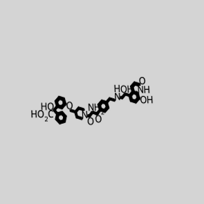 NC(C(=O)c1ccc(CCNCC(O)c2ccc(O)c3[nH]c(=O)ccc23)cc1)C(=O)N1CCC(COc2cccc(C(O)(C(=O)O)c3ccccc3)c2)CC1